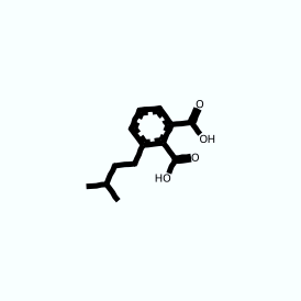 CC(C)CCc1cccc(C(=O)O)c1C(=O)O